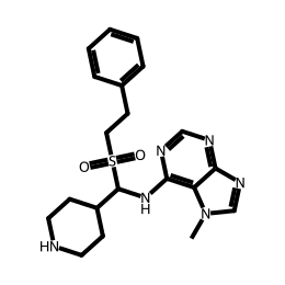 Cn1cnc2ncnc(NC(C3CCNCC3)S(=O)(=O)CCc3ccccc3)c21